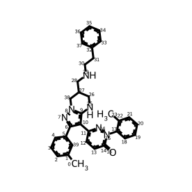 Cc1cccc(-c2nn3c(c2-c2ccc(=O)n(-c4ccccc4C)n2)NCC(CNCCc2ccccc2)C3)c1